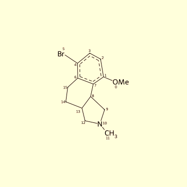 COc1ccc(Br)c2c1C1CN(C)CC1CC2